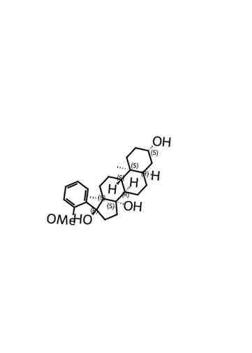 COc1ccccc1[C@@]1(O)CC[C@]2(O)[C@@H]3CC[C@@H]4C[C@@H](O)CC[C@]4(C)[C@H]3CC[C@]12C